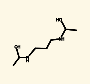 CC(O)NCCCNC(C)O